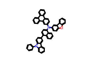 c1ccc(-n2c3ccccc3c3cc(-c4ccc(N(c5ccc6oc7ccccc7c6c5)c5ccc6c7ccccc7c7ccccc7c6c5)c5ccccc45)ccc32)cc1